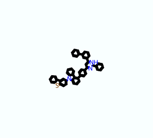 C1=C(c2cccc(-c3ccccc3)c2)NC(c2ccccc2)N=C1c1ccc(-c2cccc3c2c2ccccc2n3-c2ccc3sc4ccccc4c3c2)cc1